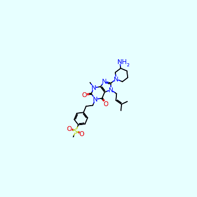 CC(C)=CCn1c(N2CCCC(N)C2)nc2c1c(=O)n(CCc1ccc(S(C)(=O)=O)cc1)c(=O)n2C